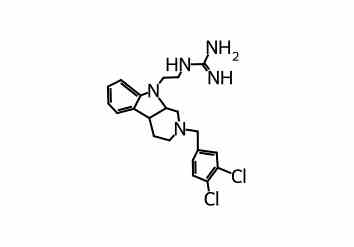 N=C(N)NCCN1c2ccccc2C2CCN(Cc3ccc(Cl)c(Cl)c3)CC21